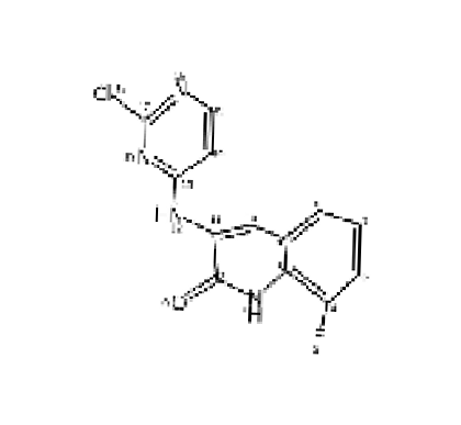 O=c1[nH]c2c(F)cccc2cc1Nc1ccnc(Cl)n1